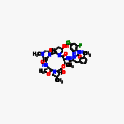 Cc1cccc(C[C@H](NC(=O)Nc2ccc(Cl)cc2F)C(=O)N[C@@H]2C(=O)N3C[C@H](O)CC[C@H]3C(=O)N3CCN(C)C[C@H]3C(=O)N[C@@H](C)C(=O)N3C[C@H](C)C[C@H]3C(=O)O[C@H]2C)c1